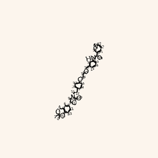 CC1(C)OCc2cc([C@@H]3CN(CCc4ccc(OCCOCc5cccc(NC(=O)c6cccnc6)c5)cc4)C(=O)O3)ccc2O1